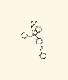 FC(F)(F)c1cccc2c(-c3ccc(OCc4ccccc4)cc3)n(Cc3ccccc3)nc12